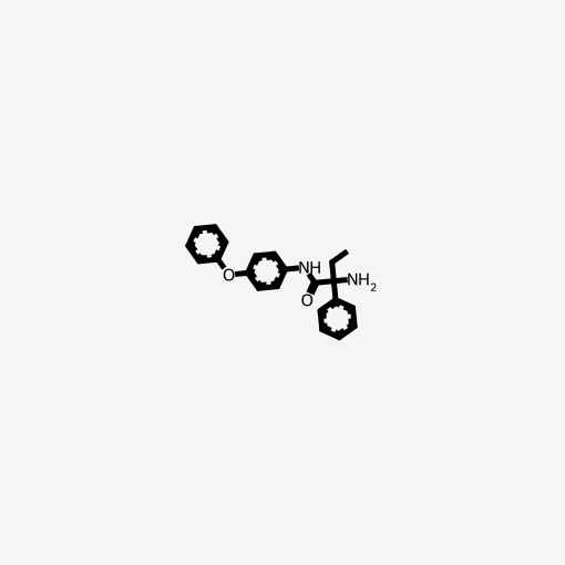 CCC(N)(C(=O)Nc1ccc(Oc2ccccc2)cc1)c1ccccc1